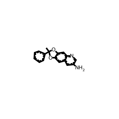 CC1(c2ccccc2)Oc2cc3cc(N)cnc3cc2O1